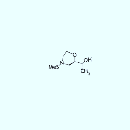 CSN1CCO[C@@H]([C@@H](C)O)C1